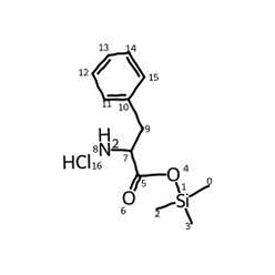 C[Si](C)(C)OC(=O)C(N)Cc1ccccc1.Cl